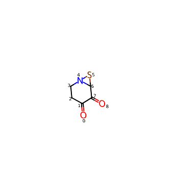 O=C1CCN2SC2C1=O